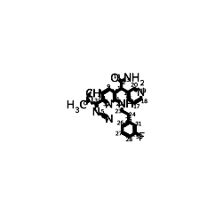 CN(C)/C(=N/C#N)c1ccc(C(C(N)=O)c2cccnc2)c(NCCc2cccc(F)c2)n1